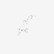 CC(C)Oc1ccc(-c2cnc(N)c(C(=O)N[C@H](C)c3nc4cccc(-c5cnn(C)c5)c4c(=O)n3-c3ccccc3)n2)cc1